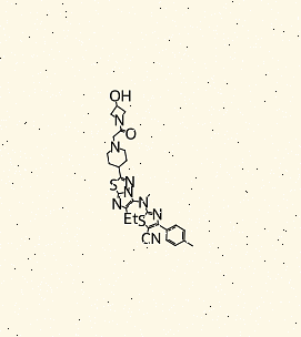 CCc1nc2sc(C3CCN(CC(=O)N4CC(O)C4)CC3)nn2c1N(C)c1nc(-c2ccc(C)cc2)c(C#N)s1